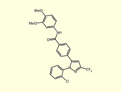 COc1ccc(NC(=O)c2ccc(-c3cc(C(F)(F)F)nn3-c3ccccc3Cl)cc2)cc1OC